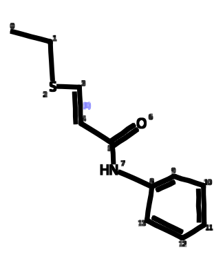 CCS/C=C/C(=O)Nc1ccccc1